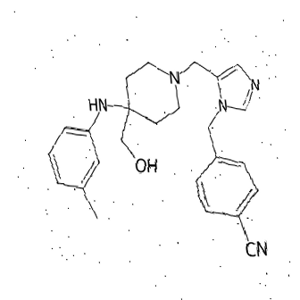 Cc1cccc(NC2(CO)CCN(Cc3cncn3Cc3ccc(C#N)cc3)CC2)c1